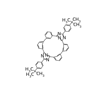 CC(C)(C)c1ccc(-c2nc3nc(n2)c2cccc(c2)c2cccc(c2)c2nc(-c4ccc(C(C)(C)C)cc4)nc(n2)c2cccc(c2)c2cccc3c2)cc1